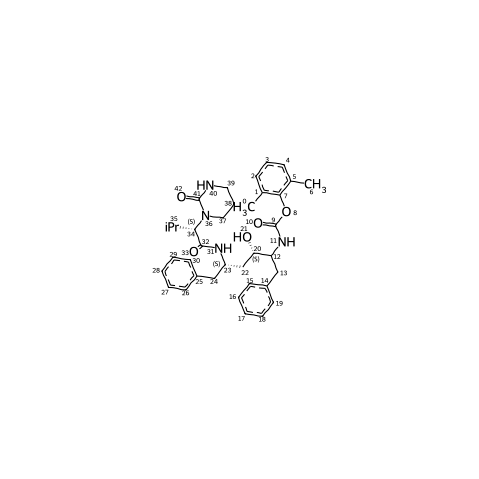 Cc1cccc(C)c1OC(=O)NC(Cc1ccccc1)[C@@H](O)C[C@H](Cc1ccccc1)NC(=O)[C@H](C(C)C)N1CCCNC1=O